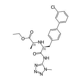 CCOC(=O)[C@H](C)N[C@@H](Cc1ccc(-c2cccc(Cl)c2)cc1)C(=O)Nc1nnnn1C